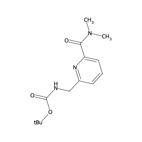 CN(C)C(=O)c1cccc(CNC(=O)OC(C)(C)C)n1